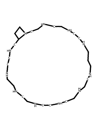 C1CNCCNCCNCCNCCNCCNCCNCC2CCN2CCNCCNCCNC1